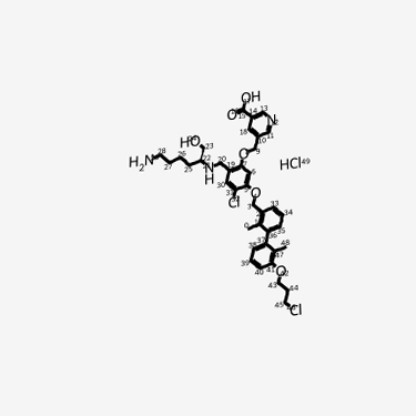 Cc1c(COc2cc(OCc3cncc(C(=O)O)c3)c(CN[C@H](CO)CCCCN)cc2Cl)cccc1-c1cccc(OCCCCl)c1C.Cl